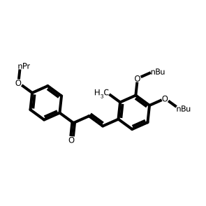 CCCCOc1ccc(C=CC(=O)c2ccc(OCCC)cc2)c(C)c1OCCCC